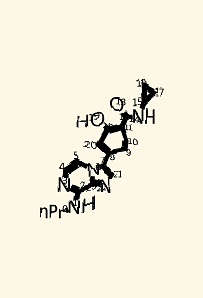 CCCNc1nccn2c(-c3ccc(C(=O)NC4CC4)c(O)c3)cnc12